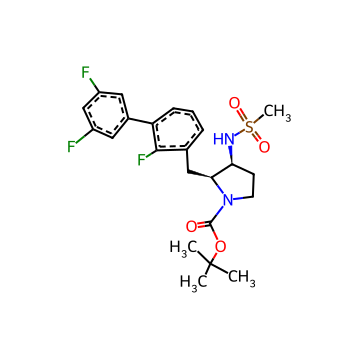 CC(C)(C)OC(=O)N1CC[C@H](NS(C)(=O)=O)[C@@H]1Cc1cccc(-c2cc(F)cc(F)c2)c1F